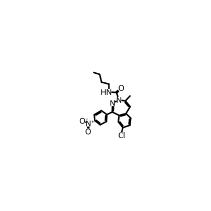 CCCCNC(=O)N1N=C(c2ccc([N+](=O)[O-])cc2)c2cc(Cl)ccc2C=C1C